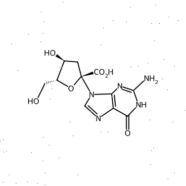 Nc1nc2c(ncn2[C@@]2(C(=O)O)C[C@H](O)[C@@H](CO)O2)c(=O)[nH]1